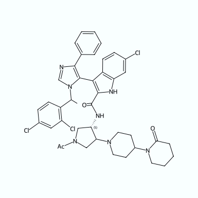 CC(=O)N1CC(N2CCC(N3CCCCC3=O)CC2)[C@@H](NC(=O)c2[nH]c3cc(Cl)ccc3c2-c2c(-c3ccccc3)ncn2C(C)c2ccc(Cl)cc2Cl)C1